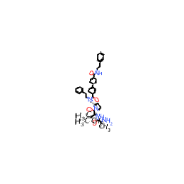 C[C@H](N)C(=O)N[C@H](C(=O)N1CCC[C@H]1CN(CCc1ccccc1)C(=O)c1ccc(-c2ccc(C(=O)NCCc3ccccc3)cc2)cc1)C(C)(C)C